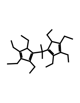 CCC1=C(CC)C(CC)C(C(C)(C)C2=C(CC)C(CC)=C(CC)C2CC)=C1CC